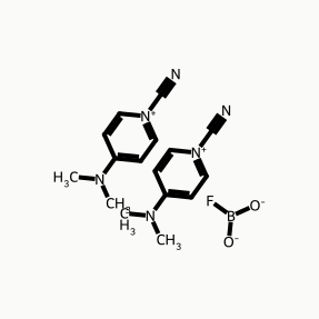 CN(C)c1cc[n+](C#N)cc1.CN(C)c1cc[n+](C#N)cc1.[O-]B([O-])F